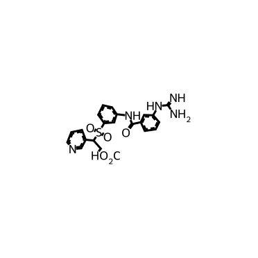 N=C(N)Nc1cccc(C(=O)Nc2cccc(S(=O)(=O)C(CC(=O)O)c3cccnc3)c2)c1